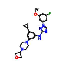 CC(C)Oc1cc(F)cc(-n2cnc(Nc3cc(C4CC4)cc(N4CCN(C5COC5)CC4)c3)n2)c1